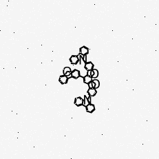 c1ccc2c(c1)oc1ccc(-c3cc4c5cc(-n6c7ccccc7c7ccccc76)ccc5oc4c4oc5ccc(-n6c7ccccc7c7ccccc76)cc5c34)cc12